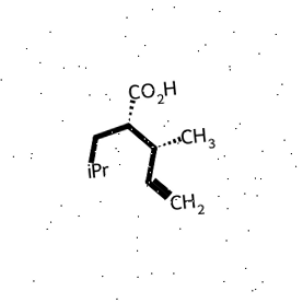 C=C[C@@H](C)[C@H](CC(C)C)C(=O)O